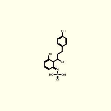 O=P(O)(O)/N=C1\C=CC=C(O)C1C(O)CCc1ccc(O)cc1